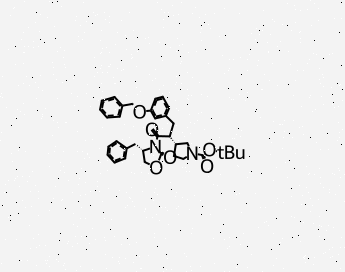 CC(C)(C)OC(=O)N1CC[C@H](C(Cc2cccc(OCc3ccccc3)c2)C(=O)N2C(=O)OC[C@@H]2Cc2ccccc2)C1